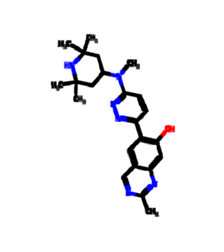 Cc1ncc2cc(-c3ccc(N(C)C4CC(C)(C)NC(C)(C)C4)nn3)c(O)cc2n1